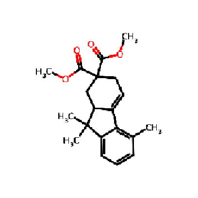 COC(=O)C1(C(=O)OC)CC=C2c3c(C)cccc3C(C)(C)C2C1